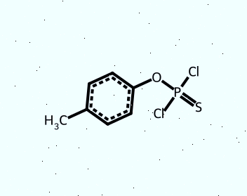 Cc1ccc(OP(=S)(Cl)Cl)cc1